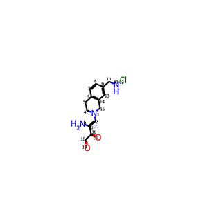 N/C(=C\N1CCc2ccc(CNCl)cc2C1)C(=O)C=O